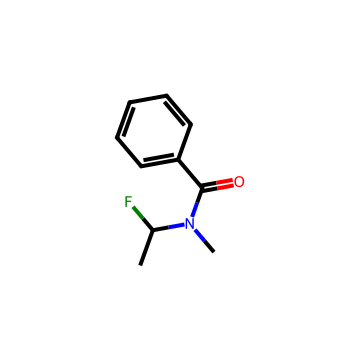 CC(F)N(C)C(=O)c1ccccc1